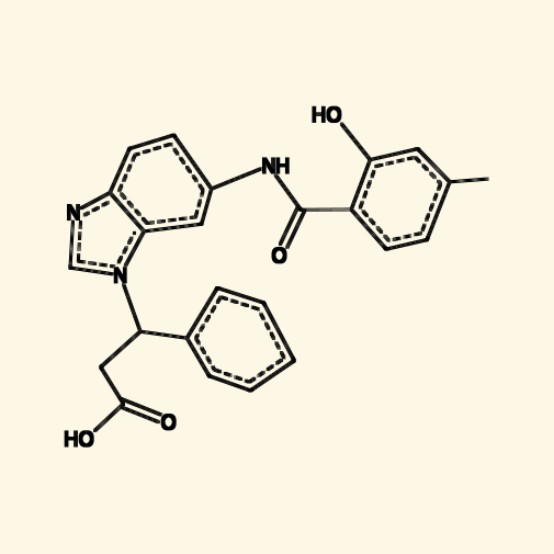 Cc1ccc(C(=O)Nc2ccc3ncn(C(CC(=O)O)c4ccccc4)c3c2)c(O)c1